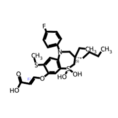 CCCC[C@@]1(CC)CN(c2ccc(F)cc2)c2cc(SC)c(O/C=C/C(=O)O)cc2S(O)(O)C1